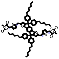 CCCCCCc1ccc(C2(c3ccc(CCCCCC)cc3)c3cc4c(cc3-c3sc(/C=c5\cc/c(=C6\SC(=O)N(C)C6=O)s5)cc32)C(c2ccc(CCCCCC)cc2)(c2ccc(CCCCCC)cc2)c2cc(/C=c3\cc/c(=C5\SC(=O)N(C)C5=O)s3)sc2-4)cc1